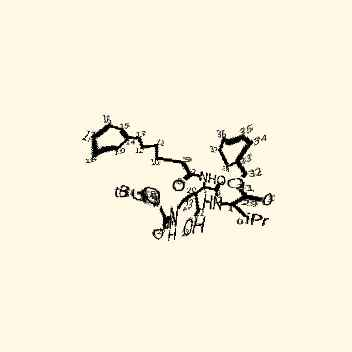 CC(C)C(NC(=O)C(NC(=O)CCCCCc1ccccc1)C(CO)CNC(=O)OC(C)(C)C)C(=O)OCc1ccccc1